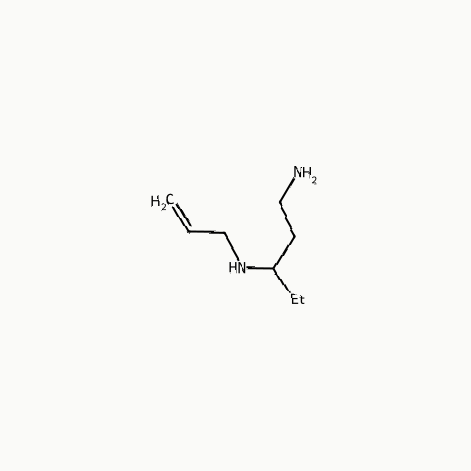 C=CCNC(CC)CCN